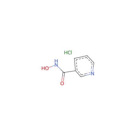 Cl.O=C(NO)c1cccnc1